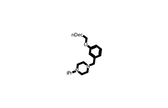 CCCCCCCCCCCOc1cccc(CN2CCN(C(C)C)CC2)c1